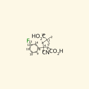 CC(C)(CC(C#N)(CC(=O)O)c1cccc(F)c1)C(=O)O